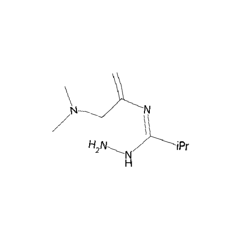 C=C(CN(C)C)/N=C(\NN)C(C)C